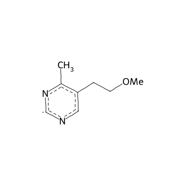 COCCc1cn[c]nc1C